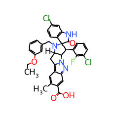 CCOc1cccc(CN2[C@H]3Cc4c5cc(C)c(C(=O)O)cc5nn4C3[C@H](c3cccc(Cl)c3F)[C@]23C(=O)Nc2cc(Cl)ccc23)c1